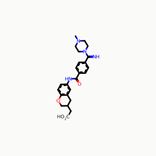 CN1CCN(C(=N)c2ccc(C(=O)Nc3ccc4c(c3)CC(CC(=O)O)CO4)cc2)CC1